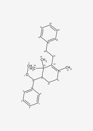 COC(c1ccccc1)C1CCC(C)=C(CCc2ccccc2)C1(C)C